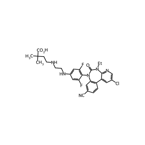 CCN1C(=O)N(c2c(F)cc(NCCNCCC(C)(C)C(=O)O)cc2F)c2cc(C#N)ccc2-c2cc(Cl)cnc21